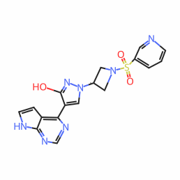 O=S(=O)(c1cccnc1)N1C[C](n2cc(-c3ncnc4[nH]ccc34)c(O)n2)C1